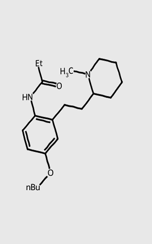 CCCCOc1ccc(NC(=O)CC)c(CCC2CCCCN2C)c1